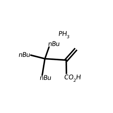 C=C(C(=O)O)C(CCCC)(CCCC)CCCC.P